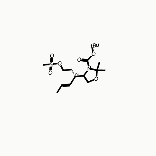 CC=C[C@H](CCOS(C)(=O)=O)C1COC(C)(C)N1C(=O)OC(C)(C)C